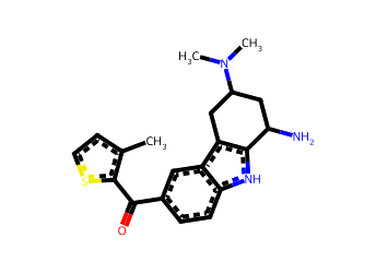 Cc1ccsc1C(=O)c1ccc2[nH]c3c(c2c1)CC(N(C)C)CC3N